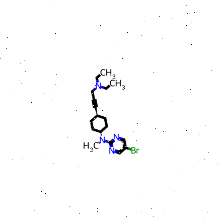 CCN(CC)CC#C[C@H]1CC[C@H](N(C)c2ncc(Br)cn2)CC1